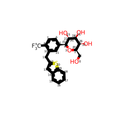 OC[C@H]1O[C@@H](c2ccc(C(F)(F)F)c(Cc3cc4ccccc4s3)c2)[C@H](O)[C@@H](O)[C@@H]1O